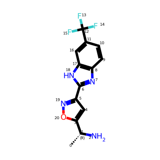 C[C@@H](N)c1cc(-c2nc3ccc(C(F)(F)F)cc3[nH]2)no1